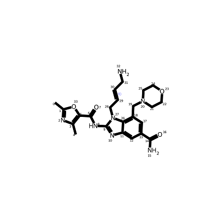 Cc1nc(C)c(C(=O)Nc2nc3cc(C(N)=O)cc(CN4CCOCC4)c3n2C/C=C/CN)o1